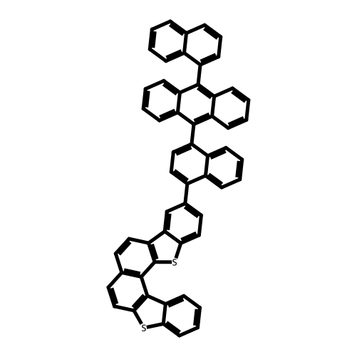 c1ccc2c(-c3c4ccccc4c(-c4ccc(-c5ccc6sc7c(ccc8ccc9sc%10ccccc%10c9c87)c6c5)c5ccccc45)c4ccccc34)cccc2c1